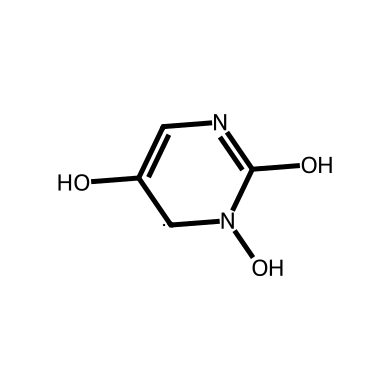 OC1=CN=C(O)N(O)[CH]1